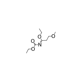 CCOC(=O)N=C(CCOC)OCC